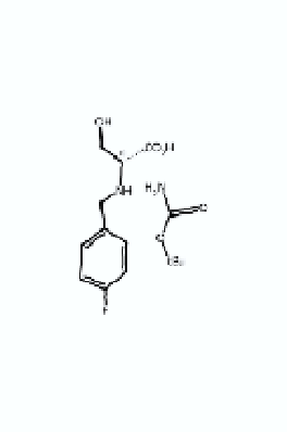 CC(C)(C)OC(N)=O.O=C(O)[C@@H](CO)NCc1ccc(F)cc1